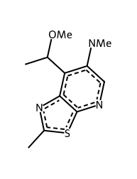 CNc1cnc2sc(C)nc2c1C(C)OC